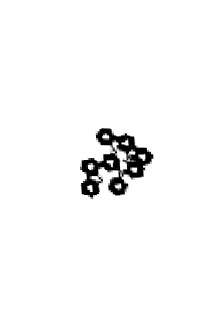 Cn1c2ccccc2c2ccc3c4ccccc4n(-c4cc(-c5cccc6c5sc5ccccc56)cc(N(c5ccccc5)c5ccccc5)c4)c3c21